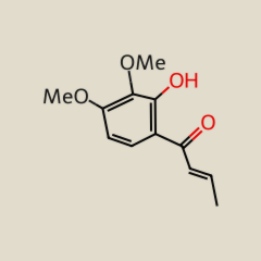 CC=CC(=O)c1ccc(OC)c(OC)c1O